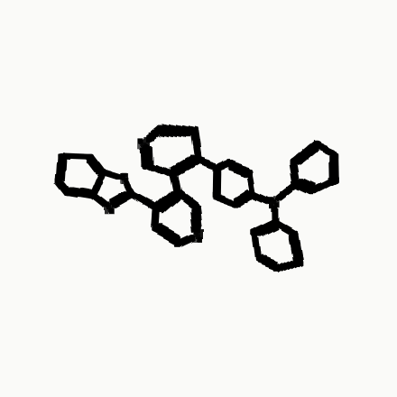 c1ccc(N(c2ccccc2)c2ccc(-c3ccncc3-c3cnccc3-c3nc4ccccc4s3)cc2)cc1